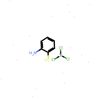 Nc1ccccc1S.[Cl][Ti]([Cl])[Cl]